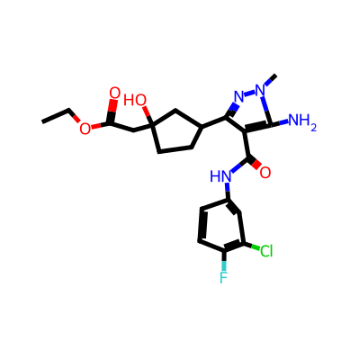 CCOC(=O)CC1(O)CCC(c2nn(C)c(N)c2C(=O)Nc2ccc(F)c(Cl)c2)C1